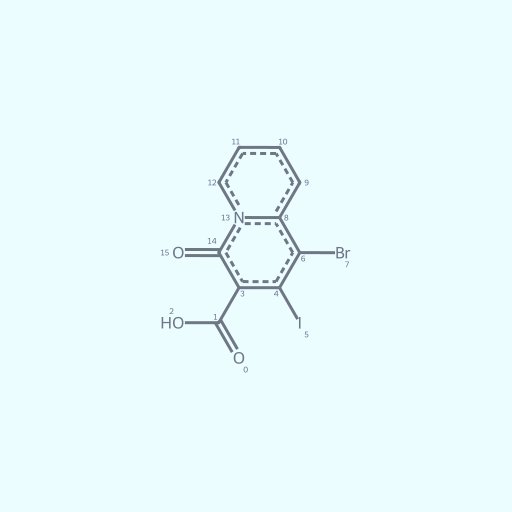 O=C(O)c1c(I)c(Br)c2ccccn2c1=O